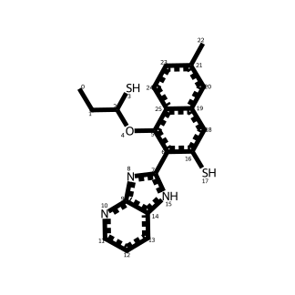 CCC(S)Oc1c(-c2nc3ncccc3[nH]2)c(S)cc2cc(C)ccc12